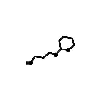 OCCCOC1CCCCO1